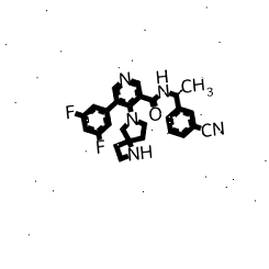 C[C@@H](NC(=O)c1cncc(-c2cc(F)cc(F)c2)c1N1CCC2(CCN2)C1)c1cccc(C#N)c1